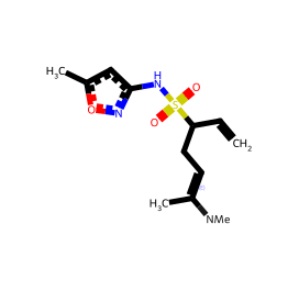 C=CC(C/C=C(\C)NC)S(=O)(=O)Nc1cc(C)on1